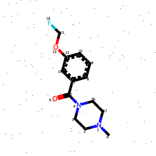 CN1CCN(C(=O)c2cccc(OCF)c2)CC1